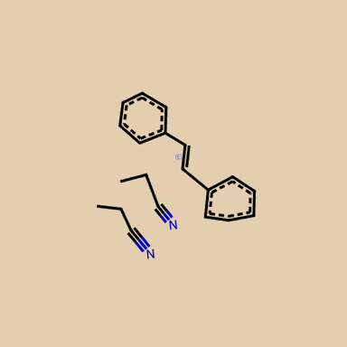 C(=C\c1ccccc1)/c1ccccc1.CCC#N.CCC#N